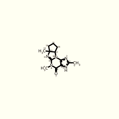 Cc1nc2c([nH]1)C(=O)N(C)C1=NC3(C)CCCC3N12